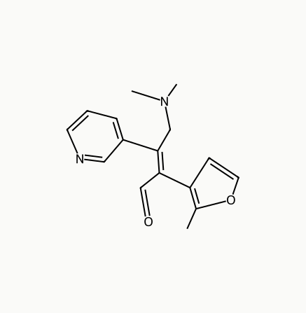 Cc1occc1C(C=O)=C(CN(C)C)c1cccnc1